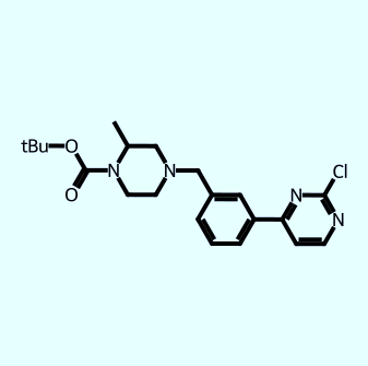 CC1CN(Cc2cccc(-c3ccnc(Cl)n3)c2)CCN1C(=O)OC(C)(C)C